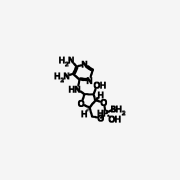 B[PH]1(O)OC[C@H]2OC(Nc3ncnc(N)c3N)C(O)[C@@H]2O1